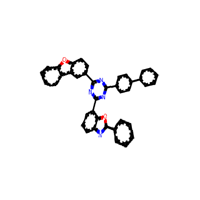 c1ccc(-c2ccc(-c3nc(-c4ccc5oc6ccccc6c5c4)nc(-c4cccc5nc(-c6ccccc6)oc45)n3)cc2)cc1